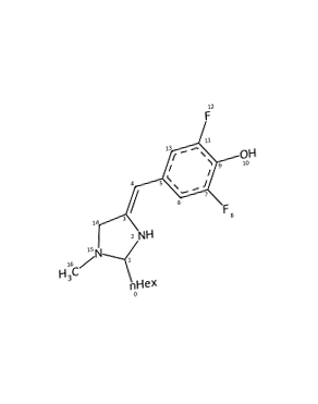 CCCCCCC1N/C(=C\c2cc(F)c(O)c(F)c2)CN1C